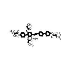 C=CC(=O)Oc1cc(C#Cc2ccc(-c3ccc(OC(=O)C(=C)C)cc3)cc2)c(OCCC)c(OC(=O)C=C)c1-c1ccc(OC(=O)C(=C)C)cc1